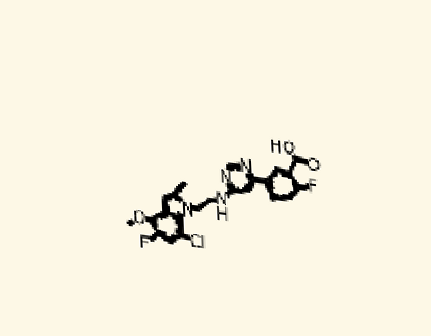 COc1c(F)cc(Cl)c2c1cc(C)n2CCNc1cc(-c2ccc(F)c(C(=O)O)c2)ncn1